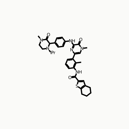 Cc1c(NC(=O)c2cc3c(s2)CCCC3)cccc1-c1cn(C)c(=O)c(Nc2ccc(C3C(=O)N(C)CCN3C(C)C)cc2)n1